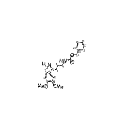 COc1ccc([C@H](N)CCCNC(=O)OCc2ccccc2)cc1OC